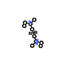 CCC(CC)(c1ccc(-c2cc(-c3ccccc3)nc(-c3cccc4ccccc34)c2)cc1)c1ccc(-c2cc(-c3ccccc3)nc(-c3cccc4ccccc34)n2)cc1